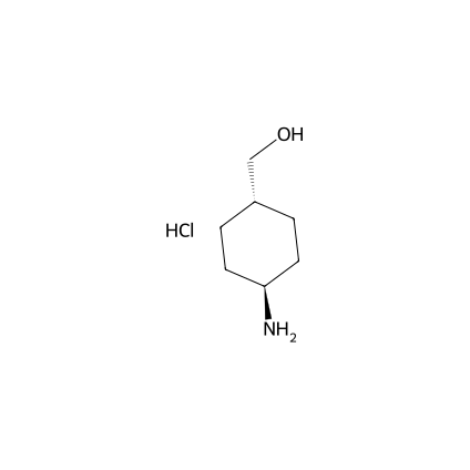 Cl.N[C@H]1CC[C@H](CO)CC1